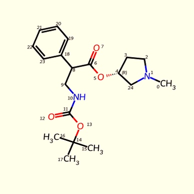 CN1CC[C@@H](OC(=O)C(CNC(=O)OC(C)(C)C)c2ccccc2)C1